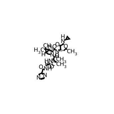 CCC[C@H](NC(=O)[C@@H]1[C@@H]2[C@H](CN1C(=O)[C@@H](NC(=O)CNC(=O)c1cnccn1)C(C)(C)C)C2(C)C)C(=O)C(=O)NC1CC1